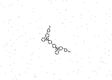 C=CCOCc1ccc2c(c1)c1ccccc1n2-c1ccc(-c2ccc(-n3c4ccccc4c4cc(COCC=C)ccc43)cc2)cc1